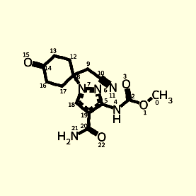 COC(=O)Nc1nn(C2(CC#N)CCC(=O)CC2)cc1C(N)=O